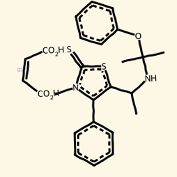 CC(NC(C)(C)Oc1ccccc1)c1sc(=S)n(C)c1-c1ccccc1.O=C(O)/C=C\C(=O)O